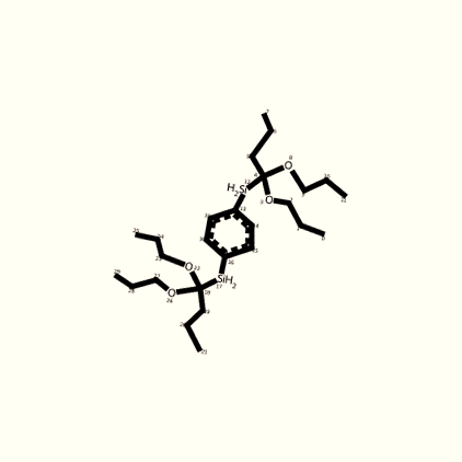 CCCOC(CCC)(OCCC)[SiH2]c1ccc([SiH2]C(CCC)(OCCC)OCCC)cc1